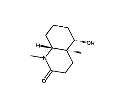 CN1C(=O)CC[C@]2(C)[C@@H](O)CCC[C@@H]12